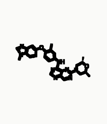 Cc1cc(Nc2ncnc3cnc(N4C[C@H](C)O[C@@H](C)C4)nc23)ccc1Oc1ccc2c(c1)ncn2C